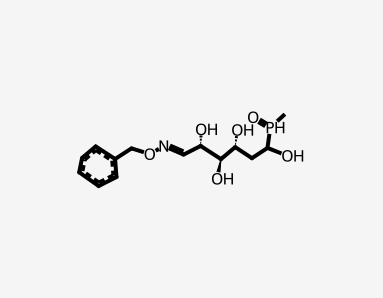 C[PH](=O)C(O)C[C@@H](O)[C@@H](O)[C@@H](O)C=NOCc1ccccc1